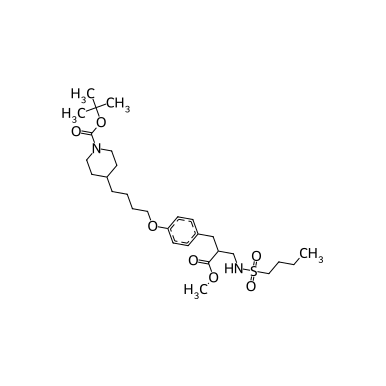 CCCCS(=O)(=O)NCC(Cc1ccc(OCCCCC2CCN(C(=O)OC(C)(C)C)CC2)cc1)C(=O)OC